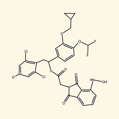 O=C(CN1C(=O)c2cccc(NO)c2C1=O)OC(Cc1c(Cl)c[n+]([O-])cc1Cl)c1ccc(OC(F)F)c(OCC2CC2)c1